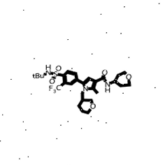 Cc1c(C(=O)NC2CCOCC2)cc(-c2ccc(S(=O)(=O)NC(C)(C)C)c(C(F)(F)F)c2)n1CC1CCCOC1